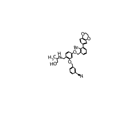 CC(CO)NCc1ccc(OCc2cccc(-c3ccc4c(c3)OCCO4)c2Br)cc1OCc1cccc(C#N)c1